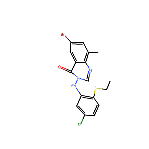 CCSc1ccc(Cl)cc1Nn1cnc2c(C)cc(Br)cc2c1=O